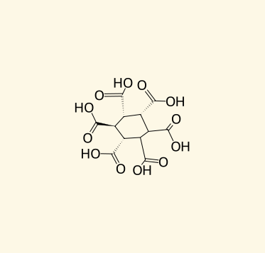 O=C(O)C1C(C(=O)O)[C@H](C(=O)O)[C@@H](C(=O)O)[C@H](C(=O)O)[C@@H]1C(=O)O